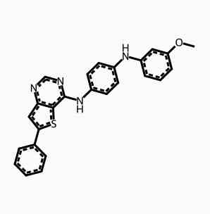 COc1cccc(Nc2ccc(Nc3ncnc4cc(-c5ccccc5)sc34)cc2)c1